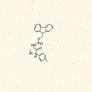 Cc1ccc(NC(=O)[C@H](CC(C)C)NC(=O)OCC2c3ccccc3-c3ccccc32)cc1